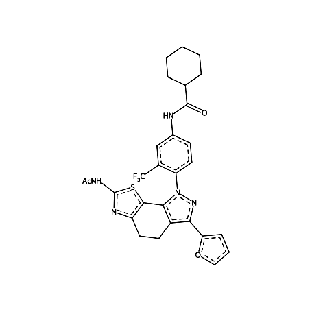 CC(=O)Nc1nc2c(s1)-c1c(c(-c3ccco3)nn1-c1ccc(NC(=O)C3CCCCC3)cc1C(F)(F)F)CC2